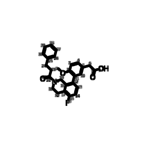 COc1ccc(CC(=O)O)cc1-c1ccc(F)c2c1CN(C(=O)CCc1ccccc1)CC2